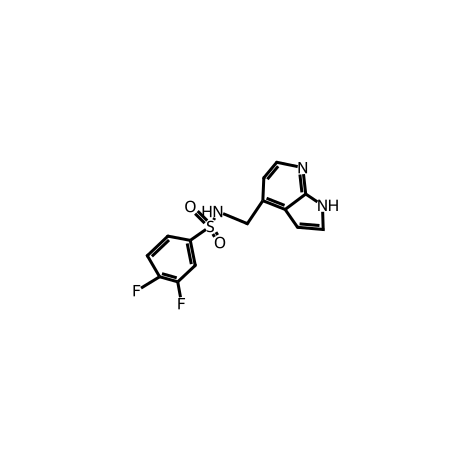 O=S(=O)(NCc1ccnc2[nH]ccc12)c1ccc(F)c(F)c1